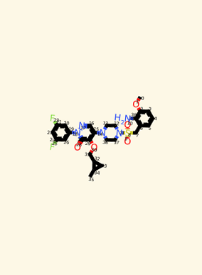 COc1cccc(CS(=O)(=O)N2CCN(c3cnn(-c4cc(F)cc(F)c4)c(=O)c3OCC3CC3C)CC2)c1N